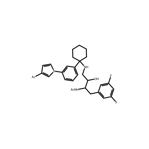 CC(=O)NC(Cc1cc(F)cc(F)c1)C(O)CNC1(c2cccc(-n3ccc(C(C)=O)c3)c2)CCCCC1